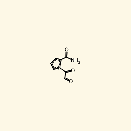 NC(=O)c1cccn1C(=O)C=O